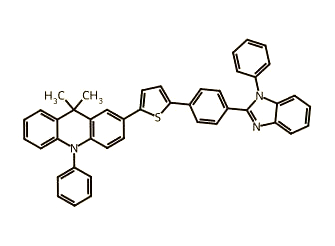 CC1(C)c2ccccc2N(c2ccccc2)c2ccc(-c3ccc(-c4ccc(-c5nc6ccccc6n5-c5ccccc5)cc4)s3)cc21